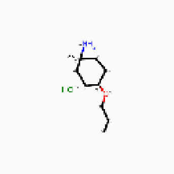 CCCO[C@H]1CC[C@@](C)(N)CC1.Cl